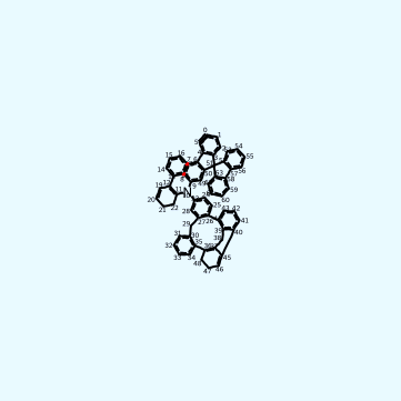 c1ccc2c(c#1)-c1ccc(N(C3=C(c4ccccc4)C=CCC3)c3ccc4c(c3)Cc3ccccc3C3=C5Cc6c(cccc6-4)C5=CCC3)cc1C21c2ccccc2-c2ccccc21